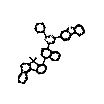 CC1(C)c2ccc3ccccc3c2-c2cccc(-c3ccc(-c4cc(-c5ccc6c(c5)oc5ccccc56)nc(-c5ccccc5)n4)c4ccccc34)c21